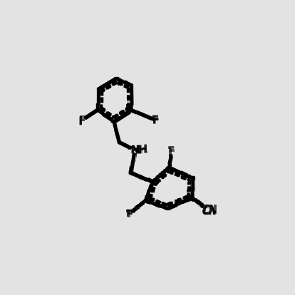 N#Cc1cc(F)c(CNCc2c(F)cccc2F)c(F)c1